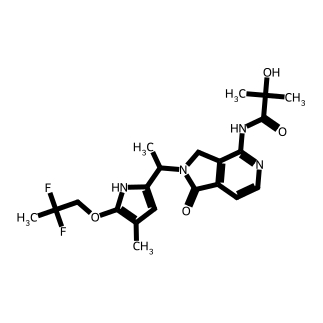 Cc1cc(C(C)N2Cc3c(ccnc3NC(=O)C(C)(C)O)C2=O)[nH]c1OCC(C)(F)F